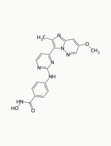 COc1cnn2c(-c3ccnc(Nc4ccc(C(=O)NO)cc4)n3)c(C)nc2c1